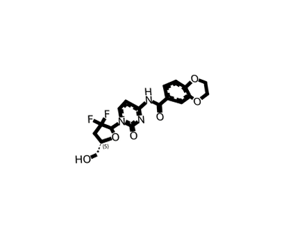 O=C(Nc1ccn(C2O[C@H](CO)CC2(F)F)c(=O)n1)c1ccc2c(c1)OCCO2